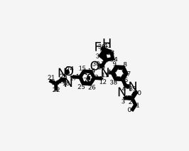 CCc1cnc(-c2cccc(N(CC34CCC(c5nc(C(C)C)no5)(CC3)CC4)C(=O)C34CC(C3)[C@@H](F)C4)c2)nc1